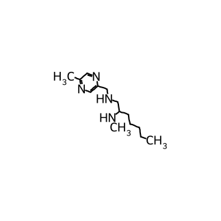 CCCCCC(CNCc1cnc(C)cn1)NC